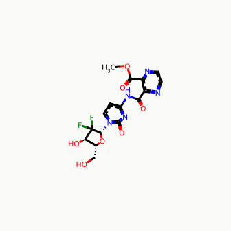 COC(=O)c1nccnc1C(=O)Nc1ccn([C@@H]2O[C@H](CO)[C@@H](O)C2(F)F)c(=O)n1